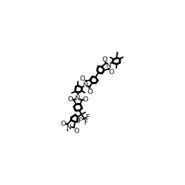 Cc1cc(C)c(N2C(=O)c3ccc(-c4ccc5c(c4)C(=O)N(c4c(C)cc(C)c(N6C(=O)c7ccc(C(C)(c8ccc9c(c8)C(=O)N(C)C9=O)C(F)(F)F)cc7C6=O)c4C)C5=O)cc3C2=O)c(C)c1C